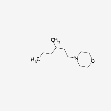 CCCC(C)CCN1CCOCC1